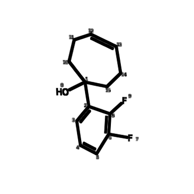 OC1(c2cccc(F)c2F)CCC=CCC1